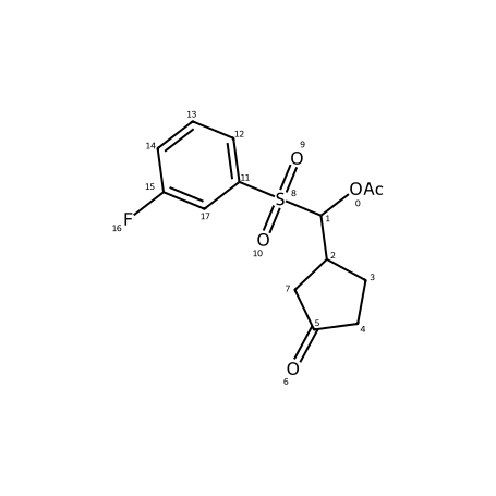 CC(=O)OC(C1CCC(=O)C1)S(=O)(=O)c1cccc(F)c1